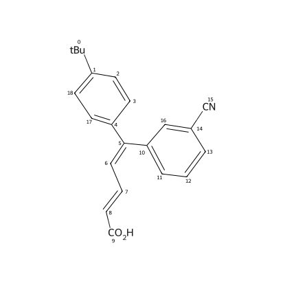 CC(C)(C)c1ccc(C(=CC=CC(=O)O)c2cccc(C#N)c2)cc1